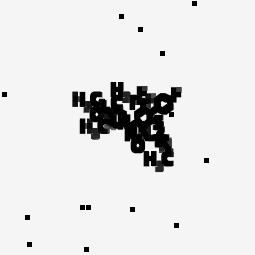 C=CC(=O)N1[C@H](C)CN(c2nc(=O)n3c4c(c(-c5ccc(F)cc5)c(C(F)(F)F)cc24)SCC2(CN(CC)C2)C3)C[C@@H]1C